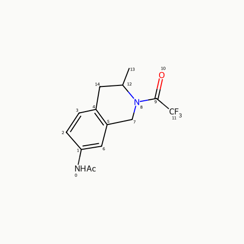 CC(=O)Nc1ccc2c(c1)CN(C(=O)C(F)(F)F)C(C)C2